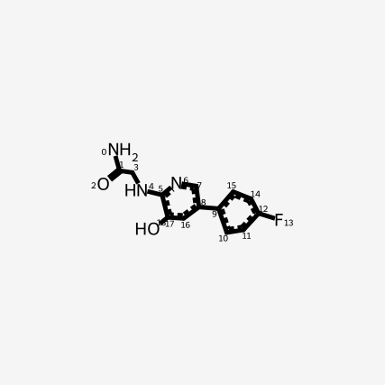 NC(=O)CNc1ncc(-c2ccc(F)cc2)cc1O